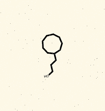 OCCCC1CCCCCCCC1